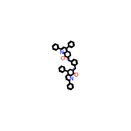 O=C1/C(=C/c2cccc(/C=C3\CCc4c(-c5ccccc5)cc(-c5ccccc5)nc4C3=O)c2)CC(c2ccccc2)c2ccc(-c3ccccc3)nc21